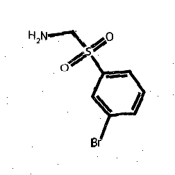 N[CH]S(=O)(=O)c1cccc(Br)c1